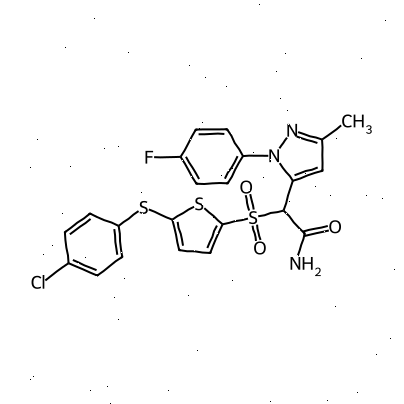 Cc1cc(C(C(N)=O)S(=O)(=O)c2ccc(Sc3ccc(Cl)cc3)s2)n(-c2ccc(F)cc2)n1